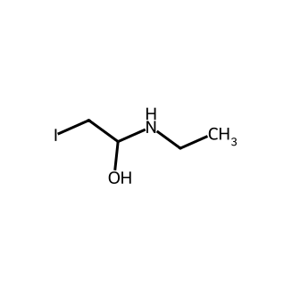 CCNC(O)CI